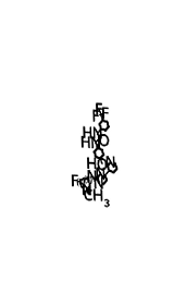 CN1C[C@@H](F)C[C@H](Nc2nccc(-c3cccnc3Oc3ccc(NC(=O)Nc4cccc(C(F)(F)F)c4)cc3)n2)C1